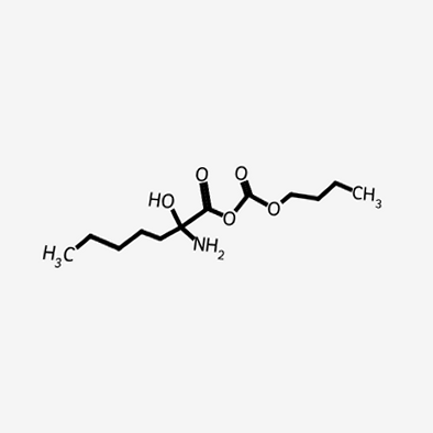 CCCCCC(N)(O)C(=O)OC(=O)OCCCC